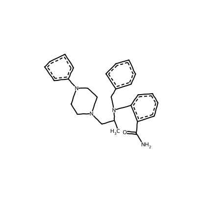 CC(CN1CCN(c2ccccc2)CC1)N(Cc1ccccc1)c1ccccc1C(N)=O